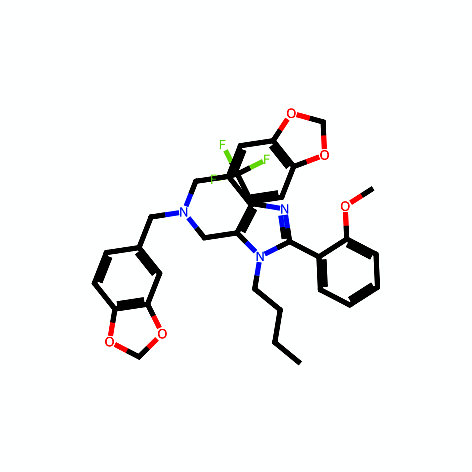 CCCCn1c(-c2ccccc2OC)nc(C(F)(F)F)c1CN(Cc1ccc2c(c1)OCO2)Cc1ccc2c(c1)OCO2